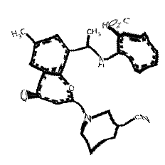 Cc1cc(C(C)Nc2ccccc2C(=O)O)c2oc(N3CCCC(C#N)C3)cc(=O)c2c1